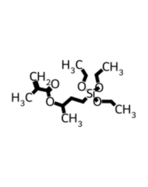 C=C(C)C(=O)OC(C)CC[Si](OCC)(OCC)OCC